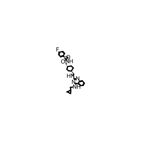 O=S(=O)(NC[C@H]1CC[C@H](CNc2nc(NCC3CC3)c3ccccc3n2)CC1)c1ccc(F)cc1